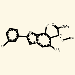 COC(=O)[C@H](OC(C)(C)C)c1c(C)cn2cc(-c3cccc(Cl)c3)nc2c1Br